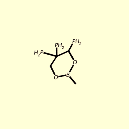 CB1OCC(P)(P)C(P)O1